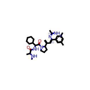 C=C(/C=C(\N=C(\C)N)c1cc(C)cc(C)c1)C1CCCN1C(=O)C(NC(=O)C(C)NC)C1CCCCC1